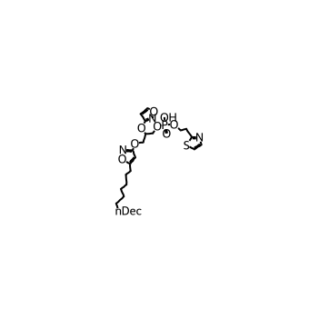 CCCCCCCCCCCCCCCCc1cc(OCC(COP(=O)(O)OCCc2nccs2)Oc2ccon2)no1